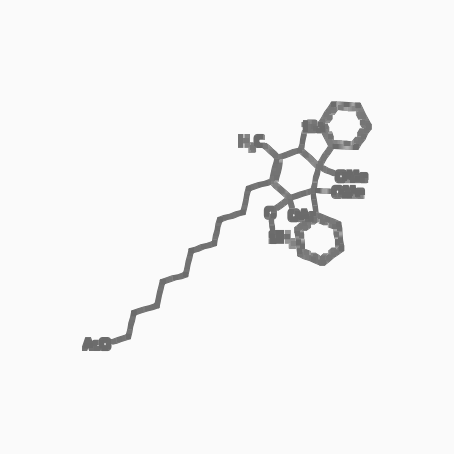 COC1(c2ccccc2)C(C(C)(C)C)C(C)=C(CCCCCCCCCCOC(C)=O)C(O[SiH3])(OC(C)=O)C1(OC)c1ccccc1